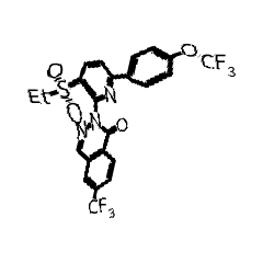 CCS(=O)(=O)c1ccc(-c2ccc(OC(F)(F)F)cc2)nc1-n1ncc2cc(C(F)(F)F)ccc2c1=O